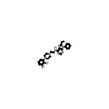 CCc1nc2c(NCCN3CCN(c4cccc(Cl)c4Cl)CC3)ncnc2n1-c1ccccc1